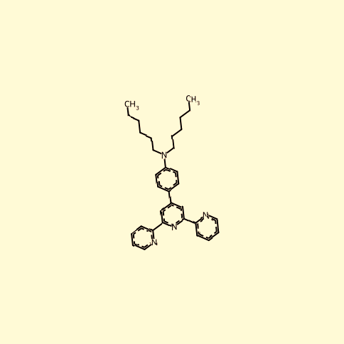 CCCCCCN(CCCCCC)c1ccc(-c2cc(-c3ccccn3)nc(-c3ccccn3)c2)cc1